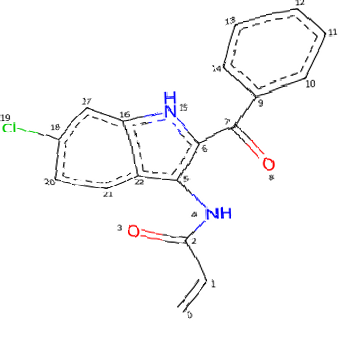 C=CC(=O)Nc1c(C(=O)c2ccccc2)[nH]c2cc(Cl)ccc12